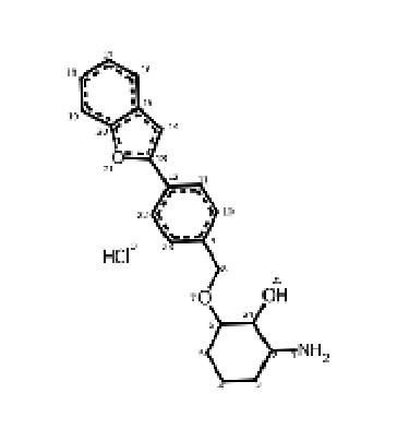 Cl.NC1CCCC(OCc2ccc(-c3cc4ccccc4o3)cc2)C1O